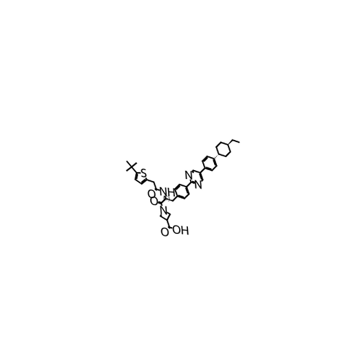 CC[C@H]1CC[C@H](c2ccc(-c3cnc(-c4ccc(C[C@H](NC(=O)Cc5ccc(C(C)(C)C)s5)C(=O)N5CC(C(=O)O)C5)cc4)nc3)cc2)CC1